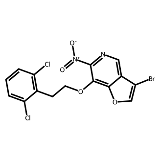 O=[N+]([O-])c1ncc2c(Br)coc2c1OCCc1c(Cl)cccc1Cl